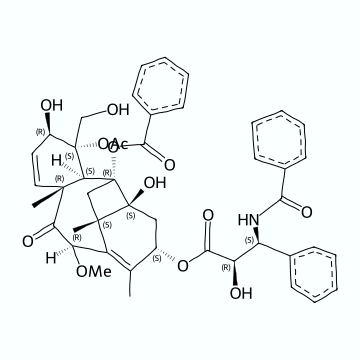 CO[C@H]1C(=O)[C@]2(C)C=C[C@@H](O)[C@](CO)(OC(C)=O)[C@H]2[C@]2(OC(=O)c3ccccc3)C[C@@]3(C)C1=C(C)[C@@H](OC(=O)[C@H](O)[C@@H](NC(=O)c1ccccc1)c1ccccc1)C[C@]32O